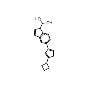 OC(O)C1C=Cc2cc(C3=CCC(C4CCC4)=C3)ccc21